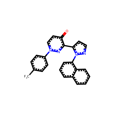 O=c1ccn(-c2ccc(C(F)(F)F)cc2)nc1-c1ccnn1-c1cccc2ccccc12